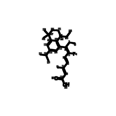 CC/C(=C(F)/C=C/C(C)=C/C(=O)O)c1cc(C(C)C)cc2c1N(CC)CCC2(C)C